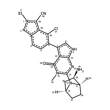 CCn1nc2ccc(-c3c[nH]c4nc(N5[C@H]6CC[C@@H]5[C@H](N)C6)n(C)c(=O)c34)c(Cl)c2c1C#N